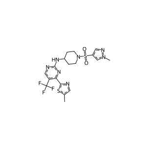 Cc1cnc(-c2nc(NC3CCN(S(=O)(=O)c4cnn(C)c4)CC3)ncc2C(F)(F)F)s1